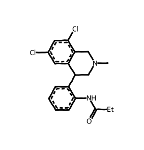 CCC(=O)Nc1ccccc1C1CN(C)Cc2c(Cl)cc(Cl)cc21